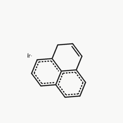 C1=Cc2cccc3cccc(c23)C1.[Ir]